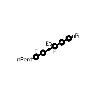 CCCCCc1cc(F)c(-c2ccc(C#Cc3c(F)cc(-c4ccc(-c5ccc(CCC)cc5)cc4)cc3CC)cc2)cc1F